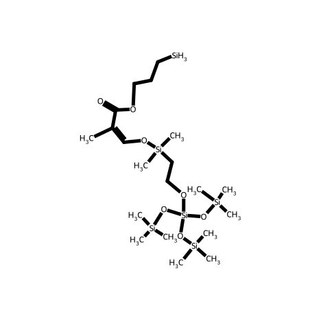 CC(=CO[Si](C)(C)CCO[Si](O[Si](C)(C)C)(O[Si](C)(C)C)O[Si](C)(C)C)C(=O)OCCC[SiH3]